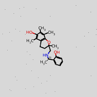 Cc1c(C)c2c(c(C)c1O)CCC(C)(CN[C@@H](C)c1ccccc1O)O2